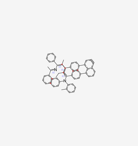 CCC/C=C(\c1ccc(-c2cccc3c#ccc(-c4ccc(C(/C=C(\N=C(/C)c5ccccc5)c5ccccc5)=C(\C)CC)cc4)c23)cc1)N(c1ccccc1)c1ccccc1C